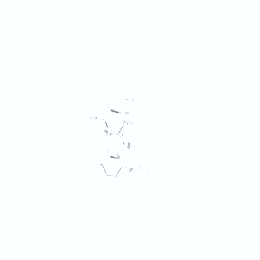 Cc1ccccc1Nc1nc(F)nc(F)n1